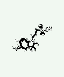 CC1=[N+](CCCS(=O)(=O)O)c2ccc(I)cc2C1(C)C